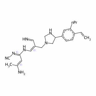 C=Cc1ccc(C2CN(C/C(C=N)=C/NC(/C=C(\C)N)=N/C#N)CN2)cc1CCC